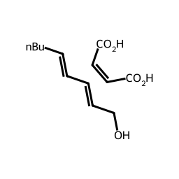 CCCCC=CC=CCO.O=C(O)/C=C\C(=O)O